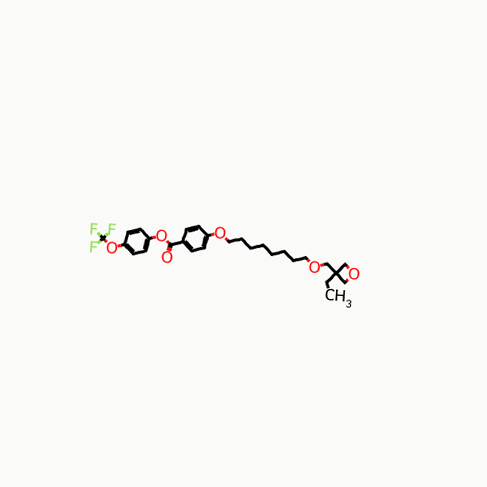 CCC1(COCCCCCCCCOc2ccc(C(=O)Oc3ccc(OC(F)(F)F)cc3)cc2)COC1